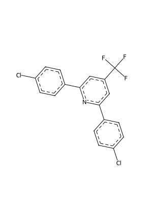 FC(F)(F)c1cc(-c2ccc(Cl)cc2)nc(-c2ccc(Cl)cc2)c1